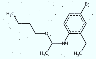 CCCCOC(C)Nc1ccc(Br)cc1CC